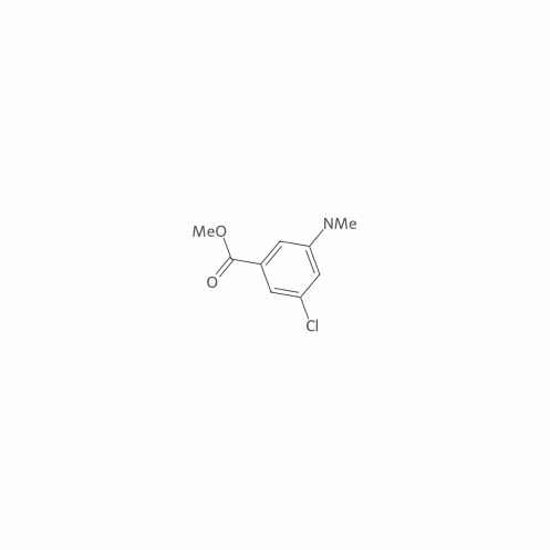 CNc1cc(Cl)cc(C(=O)OC)c1